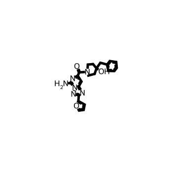 Nc1nc(C(=O)N2CCC(O)(Cc3ccccc3)CC2)cc2nc(-c3ccco3)nn12